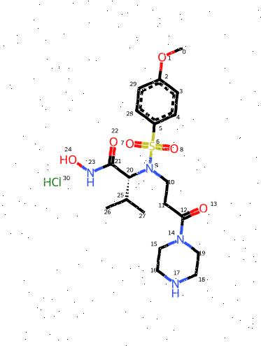 COc1ccc(S(=O)(=O)N(CCC(=O)N2CCNCC2)[C@@H](C(=O)NO)C(C)C)cc1.Cl